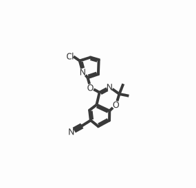 CC1(C)N=C(Oc2cccc(Cl)n2)c2cc(C#N)ccc2O1